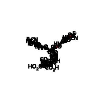 N#C[C@@H]1CC(F)(F)CN1C(=O)CNC(=O)c1ccnc2c(OCCCNC(=O)CCSCC(=O)N3CN(C(=O)CSCCC(=O)NCCCOc4cccc5c(C(=O)NCC(=O)N6CC(F)(F)C[C@H]6C#N)ccnc45)CN(C(=O)Cn4nnc5c4-c4ccccc4CN(C(=O)CCNC(=O)CCC(C(=O)O)N4CCN(CC(=O)O)CCN(CC(=O)O)CCN(CC(=O)O)CC4)c4ccccc4-5)C3)cccc12